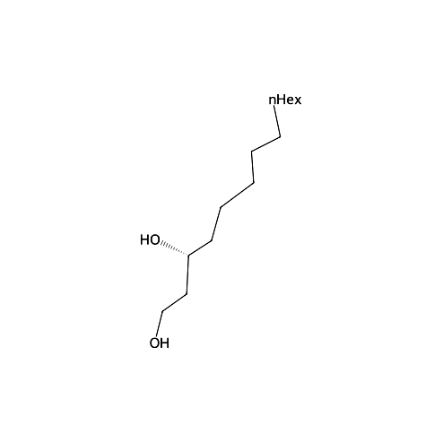 CCCCCCCCCCC[C@@H](O)CCO